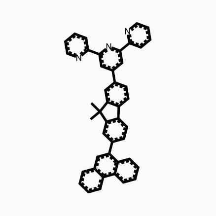 CC1(C)c2cc(-c3cc(-c4ccccn4)nc(-c4ccccn4)c3)ccc2-c2ccc(-c3cc4ccccc4c4ccccc34)cc21